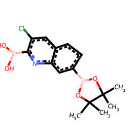 CC1(C)OB(c2ccc3cc(Cl)c(B(O)O)nc3c2)OC1(C)C